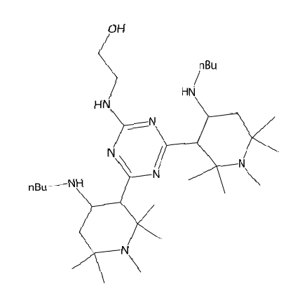 CCCCNC1CC(C)(C)N(C)C(C)(C)C1c1nc(NCCO)nc(C2C(NCCCC)CC(C)(C)N(C)C2(C)C)n1